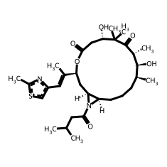 CC(=Cc1csc(C)n1)[C@@H]1C[C@H]2[C@@H](CCC[C@H](C)[C@H](O)[C@@H](C)C(=O)C(C)(C)[C@@H](O)CC(=O)O1)N2C(=O)CC(C)C